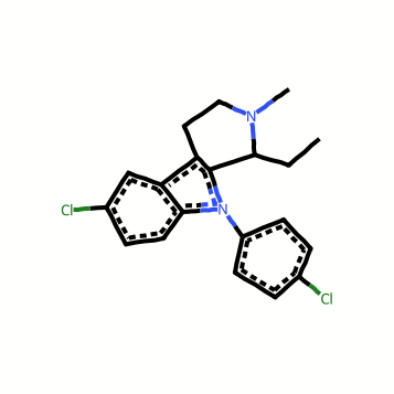 CCC1c2c(c3cc(Cl)ccc3n2-c2ccc(Cl)cc2)CCN1C